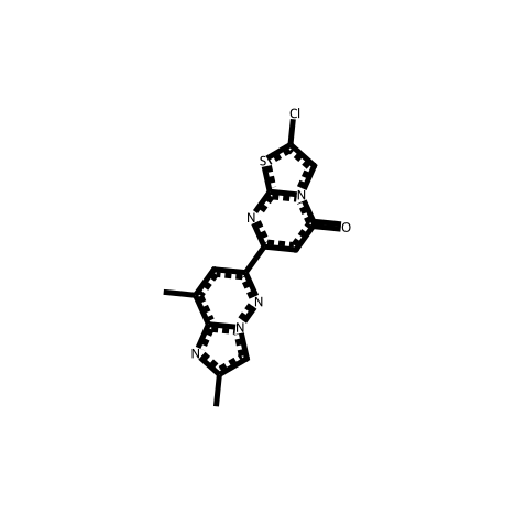 Cc1cn2nc(-c3cc(=O)n4cc(Cl)sc4n3)cc(C)c2n1